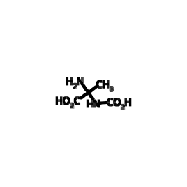 CC(N)(NC(=O)O)C(=O)O